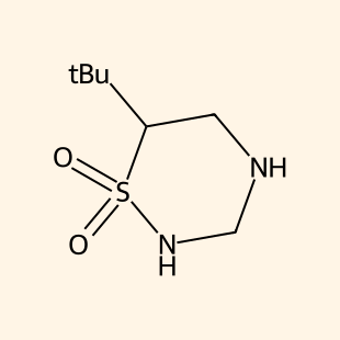 CC(C)(C)C1CNCNS1(=O)=O